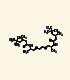 CC(CC(=O)NC(C)COCCOCC(C)NC(=O)CC(C)CC(C)(C)C)CC(C)(C)C